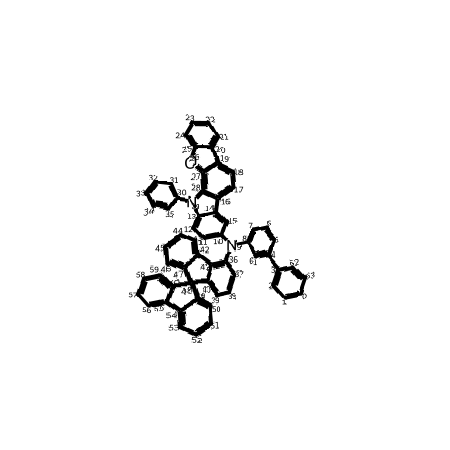 c1ccc(-c2cccc(N(c3ccc4c(c3)c3ccc5c6ccccc6oc5c3n4-c3ccccc3)c3cccc4c3-c3ccccc3C43c4ccccc4-c4ccccc43)c2)cc1